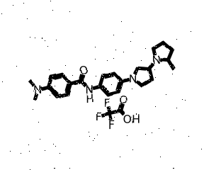 CC1CCCN1C1CCN(c2ccc(NC(=O)c3ccc(N(C)C)cc3)cc2)C1.O=C(O)C(F)(F)F